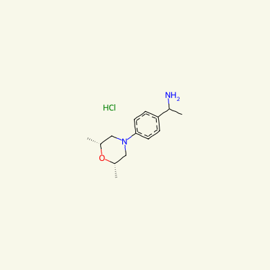 CC(N)c1ccc(N2C[C@@H](C)O[C@@H](C)C2)cc1.Cl